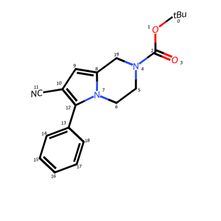 CC(C)(C)OC(=O)N1CCn2c(cc(C#N)c2-c2ccccc2)C1